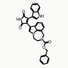 O=C1NC(=O)C(c2cn3c4c(cccc24)CN(C(=O)OCc2ccccc2)CC3)=C1c1c[nH]c2ccccc12